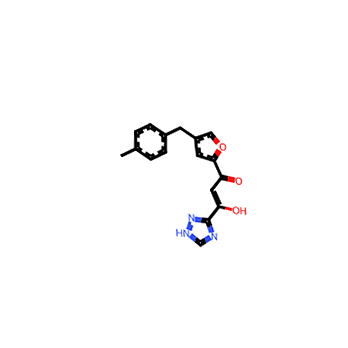 Cc1ccc(Cc2coc(C(=O)C=C(O)c3nc[nH]n3)c2)cc1